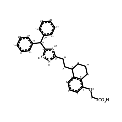 O=C(O)COc1cccc2c1CCCC2CCc1noc(C(c2ccccc2)c2ccccc2)n1